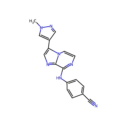 Cn1cc(-c2cnc3c(Nc4ccc(C#N)cc4)nccn23)cn1